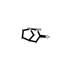 O=C1CC2CCN(C2)N1